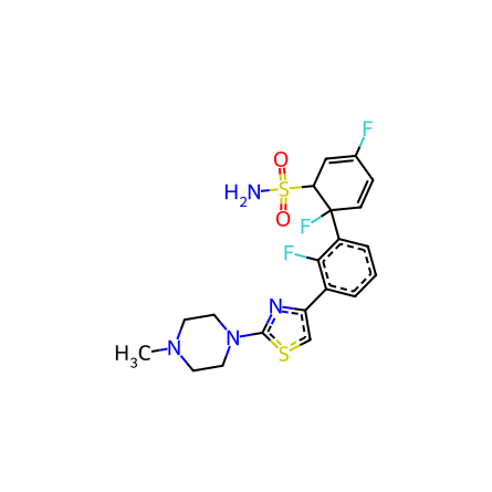 CN1CCN(c2nc(-c3cccc(C4(F)C=CC(F)=CC4S(N)(=O)=O)c3F)cs2)CC1